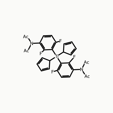 CC(=O)N(C(C)=O)c1ccc(F)[c]([Ti]([c]2c(F)ccc(N(C(C)=O)C(C)=O)c2F)([CH]2C=CC=C2)[CH]2C=CC=C2)c1F